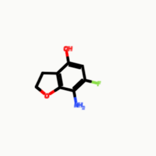 Nc1c(F)cc(O)c2c1OCC2